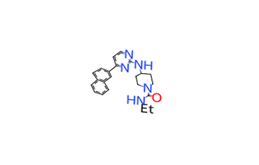 CCNC(=O)N1CCC(Nc2nccc(-c3ccc4ccccc4c3)n2)CC1